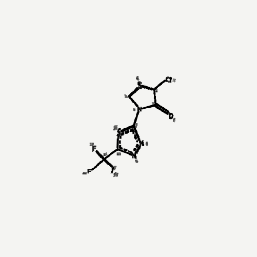 O=C1C(Cl)SCN1c1nnc(C(F)(F)F)s1